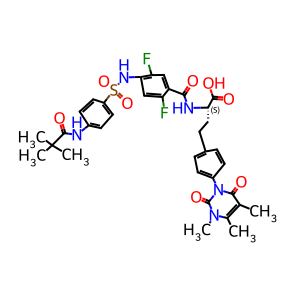 Cc1c(C)n(C)c(=O)n(-c2ccc(CC[C@H](NC(=O)c3cc(F)c(NS(=O)(=O)c4ccc(NC(=O)C(C)(C)C)cc4)cc3F)C(=O)O)cc2)c1=O